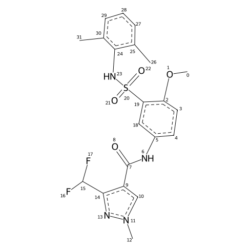 COc1ccc(NC(=O)c2cn(C)nc2C(F)F)cc1S(=O)(=O)Nc1c(C)cccc1C